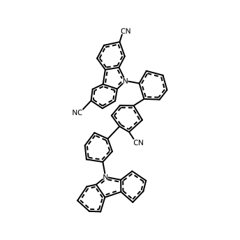 N#Cc1ccc2c(c1)c1ccc(C#N)cc1n2-c1ccccc1-c1ccc(-c2cccc(-n3c4ccccc4c4ccccc43)c2)c(C#N)c1